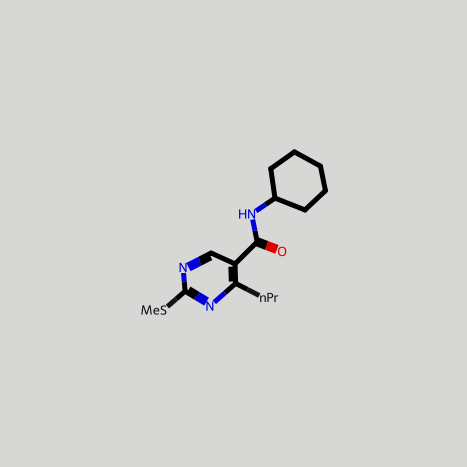 CCCc1nc(SC)ncc1C(=O)NC1CCCCC1